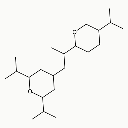 CC(C)C1CCC(C(C)CC2CC(C(C)C)OC(C(C)C)C2)OC1